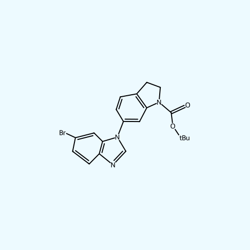 CC(C)(C)OC(=O)N1CCc2ccc(-n3cnc4ccc(Br)cc43)cc21